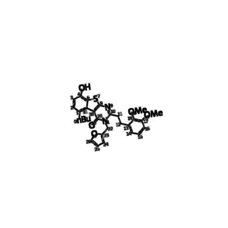 CCCCc1ccc(O)c2sc3nc(CCc4cccc(OC)c4OC)n(Cc4ccco4)c(=O)c3c12